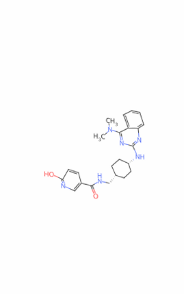 CN(C)c1nc(N[C@H]2CC[C@@H](CNC(=O)c3ccc(O)nc3)CC2)nc2ccccc12